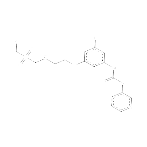 CCS(=O)(=O)CNCCOc1cc(F)cc(NC(=O)Nc2cccnc2)c1